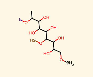 BOCC(O)C(O)C(OS)C(O)C(O)C(O)C(C)OI